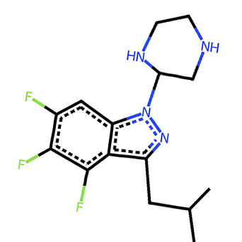 CC(C)Cc1nn(C2CNCCN2)c2cc(F)c(F)c(F)c12